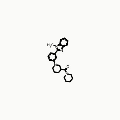 Cn1c(-c2cccc(N3CCCC(C(=O)N4CCCCC4)C3)c2)nc2ccccc21